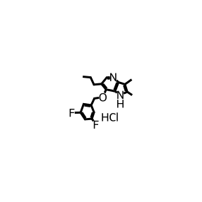 CCCc1cnc2c(C)c(C)[nH]c2c1OCc1cc(F)cc(F)c1.Cl